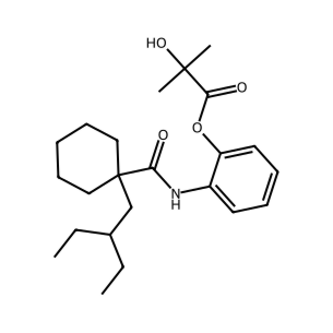 CCC(CC)CC1(C(=O)Nc2ccccc2OC(=O)C(C)(C)O)CCCCC1